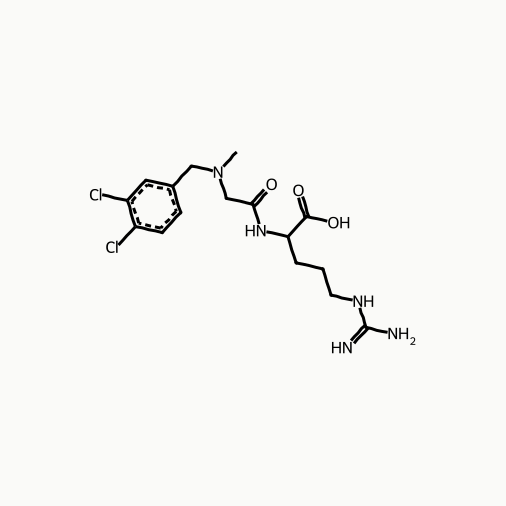 CN(CC(=O)NC(CCCNC(=N)N)C(=O)O)Cc1ccc(Cl)c(Cl)c1